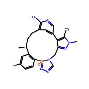 C[C@H]1CCc2cc(cnc2N)-c2c(nn(C)c2C#N)CN2C=NN=S2(=O)c2ccc(F)cc21